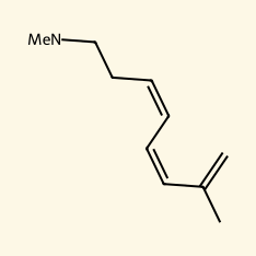 C=C(C)/C=C\C=C/CCNC